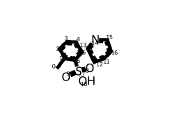 Cc1ccccc1S(=O)(=O)O.c1ccncc1